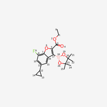 CCOC(=O)c1oc2c(F)cc(C3CC3)cc2c1B1OC(C)(C)C(C)(C)O1